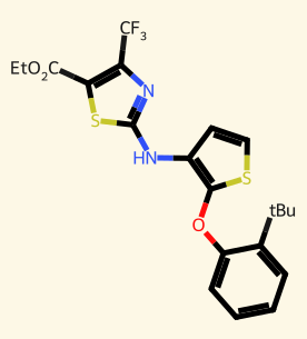 CCOC(=O)c1sc(Nc2ccsc2Oc2ccccc2C(C)(C)C)nc1C(F)(F)F